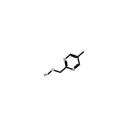 Cc1cnc(COC(C)C)nc1